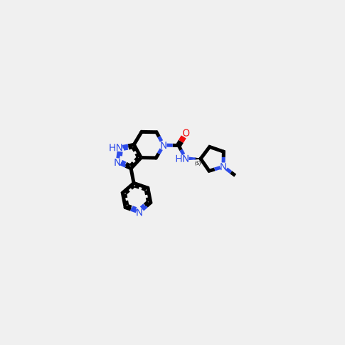 CN1CC[C@H](NC(=O)N2CCc3[nH]nc(-c4ccncc4)c3C2)C1